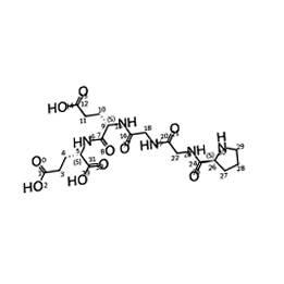 O=C(O)CC[C@H](NC(=O)[C@H](CCC(=O)O)NC(=O)CNC(=O)CNC(=O)[C@@H]1CCCN1)C(=O)O